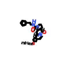 CCCCCCOc1ccc2c(c1)CCN1C(=O)[C@@H]3CCCN(C(=O)NCCc4ccccc4)[C@@H]3C[C@@H]21